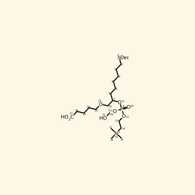 CCCCCCCCCCCCCCCCC(OP(=O)([O-])OCC[N+](C)(C)C)[C@H](CO)OCCCCC(=O)O